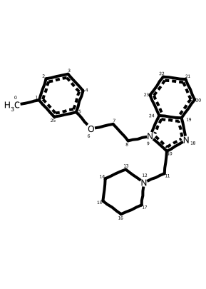 Cc1cccc(OCCn2c(CN3CCCCC3)nc3ccccc32)c1